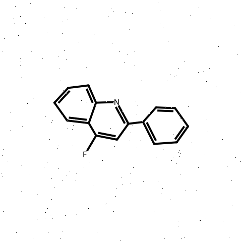 Fc1cc(-c2ccccc2)nc2ccccc12